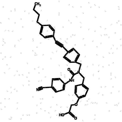 CCCCc1ccc(C#Cc2ccc(CN(Cc3ccc(OCC(=O)O)cc3)C(=O)Nc3ccc(C#N)cc3)cc2)cc1